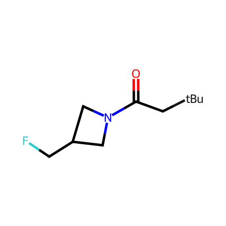 CC(C)(C)CC(=O)N1CC(CF)C1